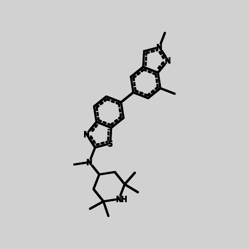 Cc1cc(-c2ccc3nc(N(C)C4CC(C)(C)NC(C)(C)C4)sc3c2)cc2cn(C)nc12